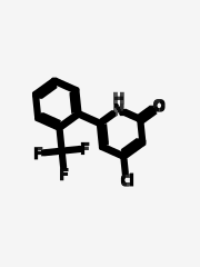 O=c1cc(Cl)cc(-c2ccccc2C(F)(F)F)[nH]1